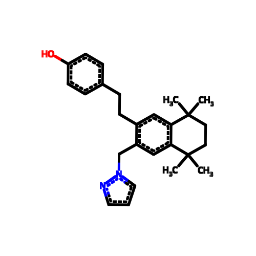 CC1(C)CCC(C)(C)c2cc(Cn3cccn3)c(CCc3ccc(O)cc3)cc21